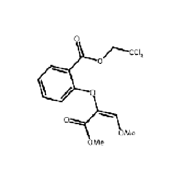 COC=C(Oc1ccccc1C(=O)OCC(Cl)(Cl)Cl)C(=O)OC